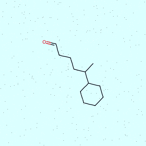 CC(CCCC=O)C1CCCCC1